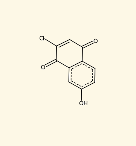 O=C1C=C(Cl)C(=O)c2cc(O)ccc21